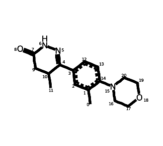 Cc1cc(C2=NNC(=O)CC2C)ccc1N1CCOCC1